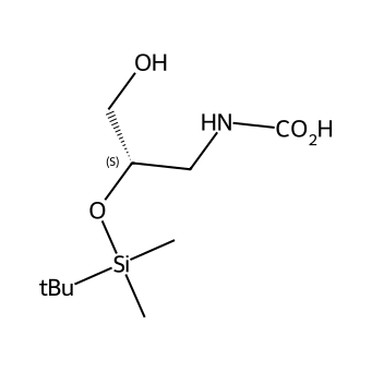 CC(C)(C)[Si](C)(C)O[C@H](CO)CNC(=O)O